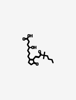 CCCCC(C)(C)C(=O)C=CC1=C(CCCC(O)CCC(=O)O)CCC1=O